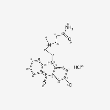 CN(CCNc1ccc(Cl)cc1C(=O)c1ccccc1)CCC(N)=O.Cl